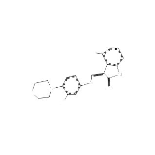 O=C1Nc2cccc(F)c2C1=CNc1ccc(N2CCOCC2)c(C(F)(F)F)c1